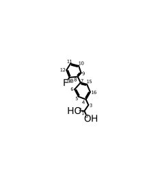 OC(O)Cc1ccc(-c2ccccc2F)cc1